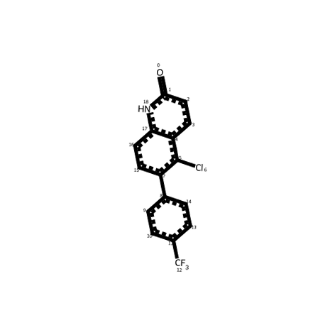 O=c1ccc2c(Cl)c(-c3ccc(C(F)(F)F)cc3)ccc2[nH]1